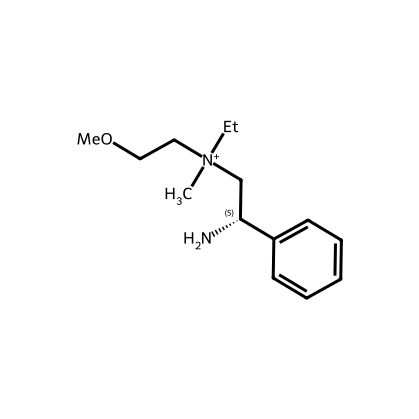 CC[N+](C)(CCOC)C[C@@H](N)c1ccccc1